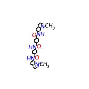 CC[n+]1cccc2ccc(NC(=O)c3ccc(NC(=O)c4ccc(C(=O)Nc5ccc6ccc[n+](CC)c6c5)cc4)cc3)cc21